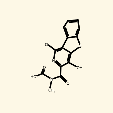 CN(C(=O)O)C(=O)c1nc(Cl)c2c(sc3cc[c]cc32)c1O